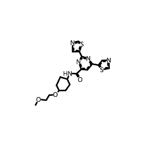 COCCOC1CCC(NC(=O)c2cc(-c3cncs3)nc(-c3cncs3)n2)CC1